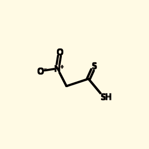 O=[N+]([O-])CC(=S)S